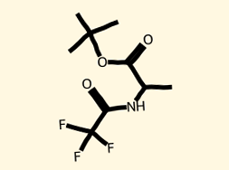 CC(NC(=O)C(F)(F)F)C(=O)OC(C)(C)C